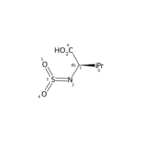 CC(C)[C@@H](N=S(=O)=O)C(=O)O